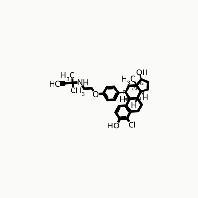 C#CC(C)(C)NCCOc1ccc([C@H]2C[C@]3(C)[C@@H](O)CC[C@H]3[C@@H]3CCc4c(ccc(O)c4Cl)[C@H]32)cc1